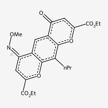 CCCc1c2oc(C(=O)OCC)cc(=O)c2cc2/c(=N\OC)cc(C(=O)OCC)oc12